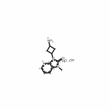 Cl.Cl.Cn1c(=O)n(C2CC(N)C2)c2ncccc21